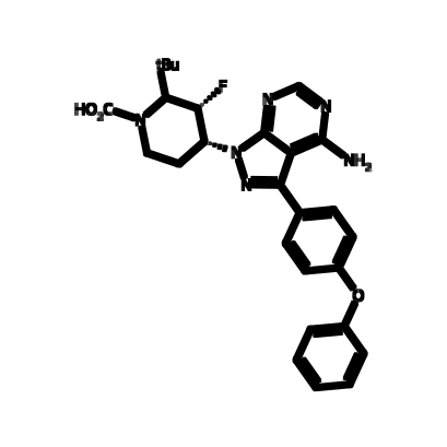 CC(C)(C)C1[C@H](F)[C@H](n2nc(-c3ccc(Oc4ccccc4)cc3)c3c(N)ncnc32)CCN1C(=O)O